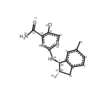 Cc1ccc2c(c1)[C@H](Nc1ncc(Cl)c(C(N)=O)n1)[C@@H](C)C2